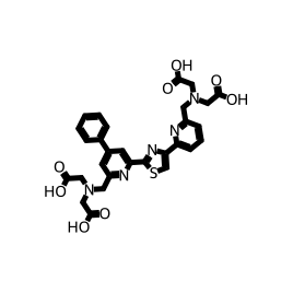 O=C(O)CN(CC(=O)O)Cc1cccc(-c2csc(-c3cc(-c4ccccc4)cc(CN(CC(=O)O)CC(=O)O)n3)n2)n1